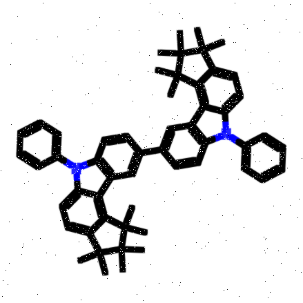 CC1(C)c2ccc3c(c2C(C)(C)C1(C)C)c1cc(-c2ccc4c(c2)c2c5c(ccc2n4-c2ccccc2)C(C)(C)C(C)(C)C5(C)C)ccc1n3-c1ccccc1